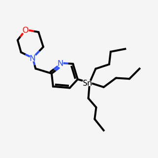 CCC[CH2][Sn]([CH2]CCC)([CH2]CCC)[c]1ccc(CN2CCOCC2)nc1